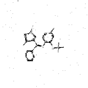 Cc1ccc(N=C(c2ccccc2)c2cn(C)nc2C)c(O[Si](C)(C)C)c1